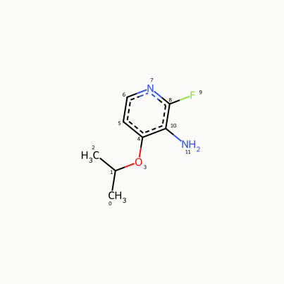 CC(C)Oc1ccnc(F)c1N